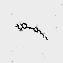 CCOC(=O)CCc1ccc(C#Cc2ccc3c(c2)C(C)(C)CC(C)(C)O3)nc1